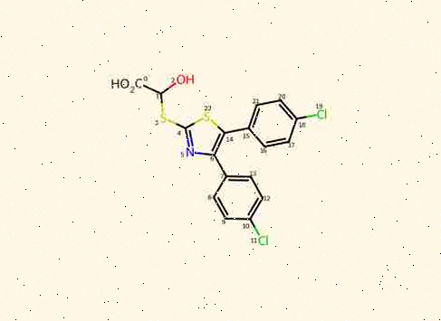 O=C(O)C(O)Sc1nc(-c2ccc(Cl)cc2)c(-c2ccc(Cl)cc2)s1